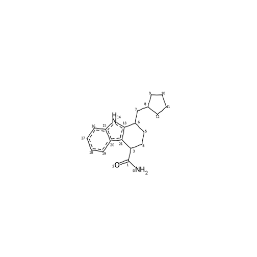 NC(=O)C1CCC(CC2CCCC2)c2[nH]c3ccccc3c21